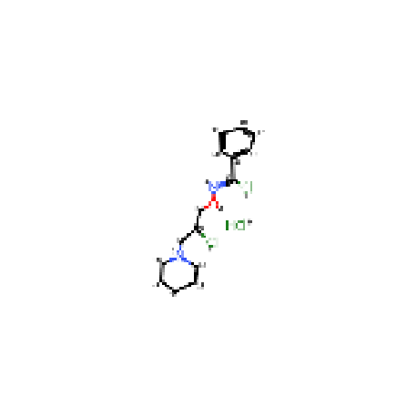 Cl.ClC(=NOCC(Cl)CN1CCCCC1)c1ccccc1